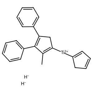 CC1=[C]([Ti+2][C]2=CC=CC2)CC(c2ccccc2)=C1c1ccccc1.[H-].[H-]